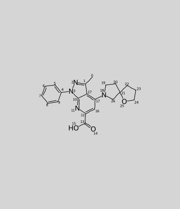 Cc1nn(-c2ccccc2)c2nc(C(=O)O)cc(N3CCC4(CCCO4)C3)c12